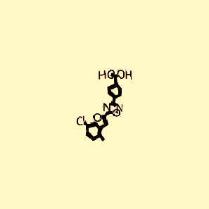 Cc1ccc(Cl)c2oc(-c3nc(-c4ccc(C(O)O)cc4)no3)cc12